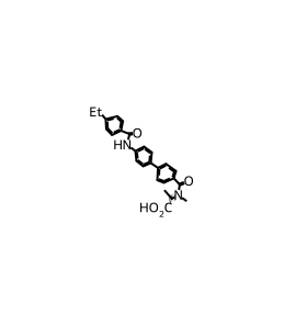 CCc1ccc(C(=O)Nc2ccc(-c3ccc(C(=O)N(C)[C@@H](C)C(=O)O)cc3)cc2)cc1